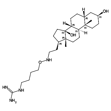 C[C@]12CC[C@H](O)C[C@H]1CC[C@@H]1[C@@H]2CC[C@]2(C)[C@@H](CCNOCCCCNC(=N)N)CC[C@]12O